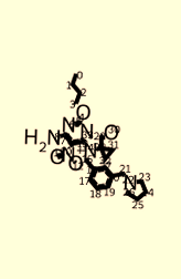 CCCCOc1nc(N)c([N+](=O)[O-])c(N(Cc2cccc(CN3CCCC3)c2)C2(C=O)CC2)n1